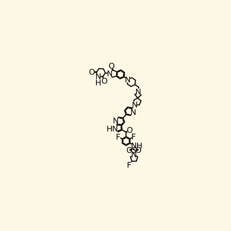 O=C1CCC(N2Cc3cc(N4CCC(CN5CC6(CCN(c7ccc(-c8cnc9[nH]cc(C(=O)c%10c(F)ccc(NS(=O)(=O)N%11CC[C@@H](F)C%11)c%10F)c9c8)cn7)C6)C5)CC4)ccc3C2=O)C(=O)N1